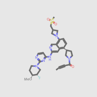 CC#CC(=O)N1CC[C@H](c2ccc(N3CC(CS(C)(=O)=O)C3)c3cnc(Nc4ccnc(N5CC[C@@H](OC)[C@@H](F)C5)n4)cc23)C1